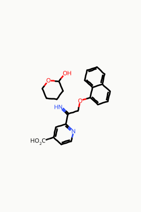 N=C(COc1cccc2ccccc12)c1cc(C(=O)O)ccn1.OC1CCCCO1